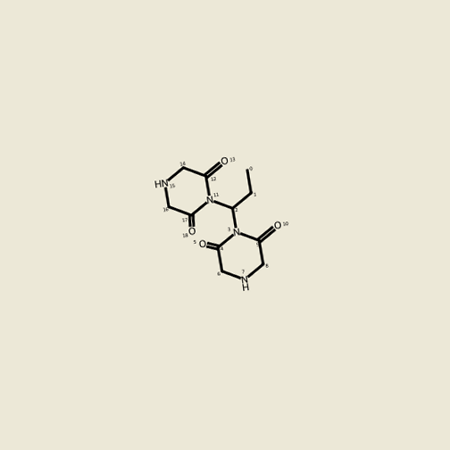 CCC(N1C(=O)CNCC1=O)N1C(=O)CNCC1=O